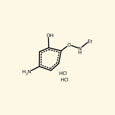 CCNOc1ccc(N)cc1O.Cl.Cl